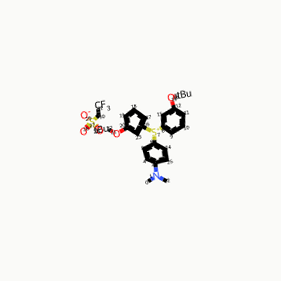 CN(C)c1ccc([S+](c2cccc(OC(C)(C)C)c2)c2cccc(OC(C)(C)C)c2)cc1.O=S(=O)([O-])CC(F)(F)F